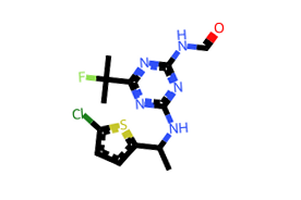 CC(Nc1nc(NC=O)nc(C(C)(C)F)n1)c1ccc(Cl)s1